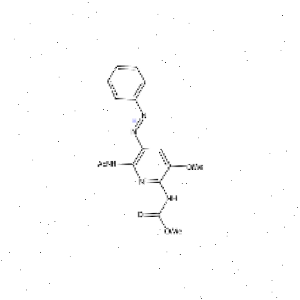 COC(=O)Nc1nc(NC(C)=O)c(/N=N/c2ccccc2)cc1OC